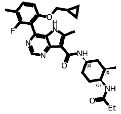 CCC(=O)N[C@H]1CC[C@H](NC(=O)c2c(C)[nH]c3c(-c4c(OCC5CC5)ccc(C)c4F)ncnc23)C[C@H]1C